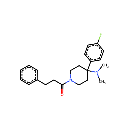 CN(C)C1(c2ccc(F)cc2)CCN(C(=O)CCc2ccccc2)CC1